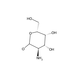 N[C@H]1C([O])O[C@H](CO)[C@H](O)[C@@H]1O